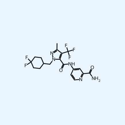 Cc1nn(CC2CCC(F)(F)CC2)c(C(=O)Nc2ccnc(C(N)=O)c2)c1C(F)(F)F